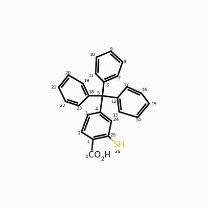 O=C(O)c1ccc(C(c2ccccc2)(c2ccccc2)c2ccccc2)cc1S